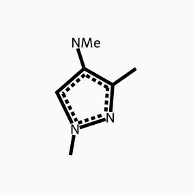 CNc1cn(C)nc1C